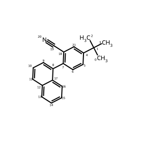 CC(C)(C)c1ccc(-c2cccc3ccccc23)c(C#N)c1